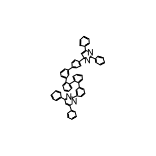 c1ccc(-c2cc(-c3ccc(-c4cccc(-c5ccccc5-c5ccccc5-c5cccc(-c6nc(-c7ccccc7)cc(-c7ccccc7)n6)c5)c4)cc3)nc(-c3ccccc3)n2)cc1